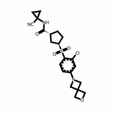 N#CC1(NC(=O)[C@@H]2CC[C@@H](S(=O)(=O)c3ccc(N4CC5(COC5)C4)cc3Cl)C2)CC1